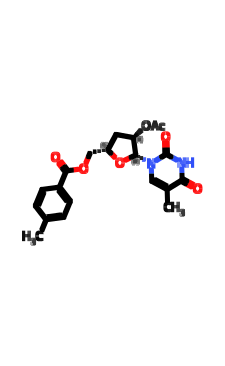 CC(=O)O[C@@H]1C[C@@H](COC(=O)c2ccc(C)cc2)O[C@H]1n1cc(C)c(=O)[nH]c1=O